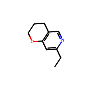 CCc1cc2c(cn1)CCCO2